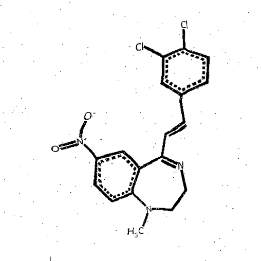 CN1CCN=C(C=Cc2ccc(Cl)c(Cl)c2)c2cc([N+](=O)[O-])ccc21